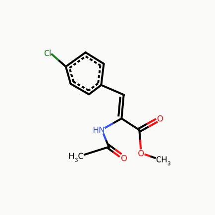 COC(=O)C(=Cc1ccc(Cl)cc1)NC(C)=O